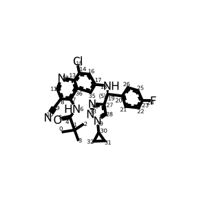 CC(C)(C)C(=O)Nc1c(C#N)cnc2c(Cl)cc(N[C@@H](c3ccc(F)cc3)c3cn(C4CC4)nn3)cc12